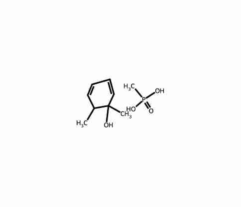 CC1C=CC=CC1(C)O.CP(=O)(O)O